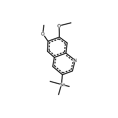 COc1cc2c[c]([Sn]([CH3])([CH3])[CH3])cnc2cc1OC